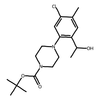 Cc1cc(C(C)O)c(N2CCN(C(=O)OC(C)(C)C)CC2)cc1Cl